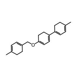 CC1=CC=C(COC2=CC=C(C3=CC=C(C)CC3)CC2)CC1